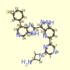 NC1CN(c2cncc(-c3ccc4[nH]nc(-c5nc6c(-c7cccc(F)c7)cncc6[nH]5)c4n3)n2)C1